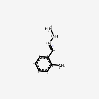 Cc1ccccc1/C=N/NN